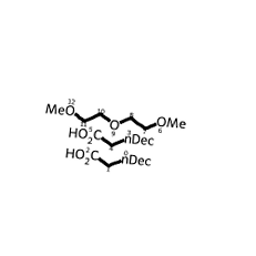 CCCCCCCCCCCC(=O)O.CCCCCCCCCCCC(=O)O.COCCOCCOC